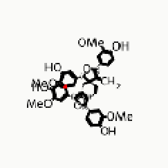 C=C1[C@@H](c2ccc(O)c(OC)c2)O[C@@H](c2ccc(OC)c(O)c2)[C@]12CC[C@]13O[C@@]1(C2)[C@@H](c1ccc(O)c(OC)c1)O[C@H]3c1ccc(O)c(OC)c1